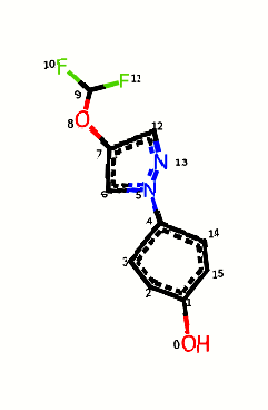 Oc1ccc(-n2cc(OC(F)F)cn2)cc1